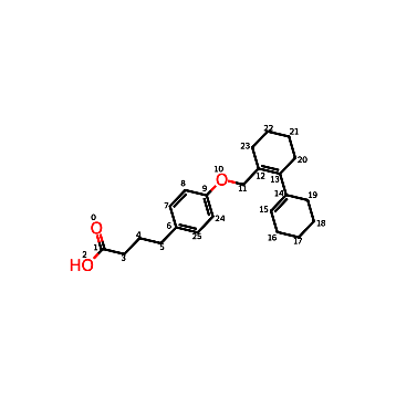 O=C(O)CCCc1ccc(OCC2=C(C3=CCCCC3)CCCC2)cc1